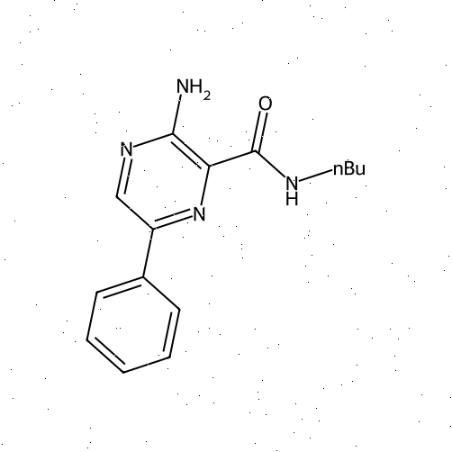 CCCCNC(=O)c1nc(-c2ccccc2)cnc1N